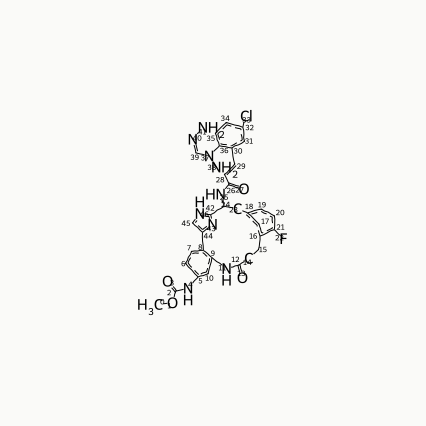 COC(=O)Nc1ccc2c(c1)NC(=O)CCc1cc(ccc1F)C[C@H](NC(=O)/C=C/c1cc(Cl)ccc1N(N)/C=N\N)c1nc-2c[nH]1